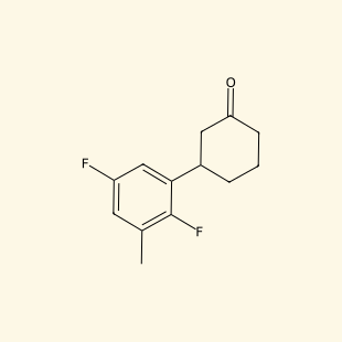 Cc1cc(F)cc(C2CCCC(=O)C2)c1F